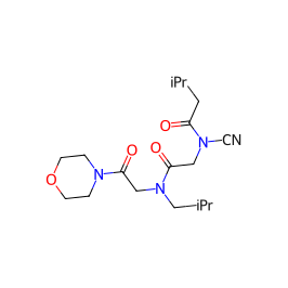 CC(C)CC(=O)N(C#N)CC(=O)N(CC(=O)N1CCOCC1)CC(C)C